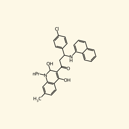 CCCN1c2cc(C)ccc2C(O)=C(C(=O)CC(Nc2cccc3ccccc23)c2ccc(Cl)cc2)C1O